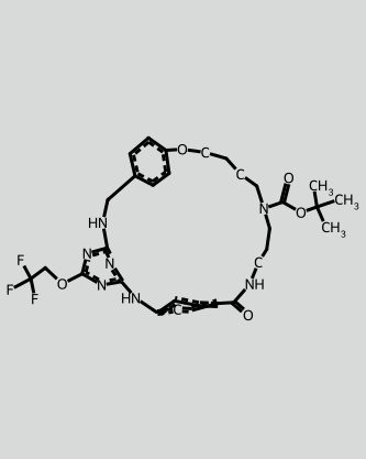 CC(C)(C)OC(=O)N1CCCCOc2ccc(cc2)CNc2nc(nc(OCC(F)(F)F)n2)Nc2ccc(cc2)C(=O)NCCC1